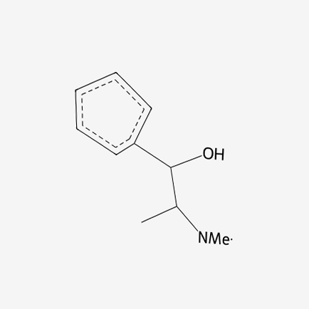 C[N]C(C)C(O)c1ccccc1